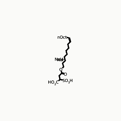 CCCCCCCC/C=C\CCCCCCCCOC(=O)CC(C(=O)O)S(=O)(=O)O.[NaH].[NaH]